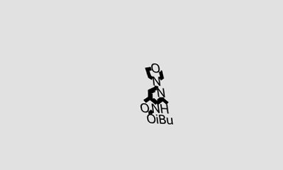 Cc1cc(N2CCOCC2)nc(C)c1NC(=O)OCC(C)C